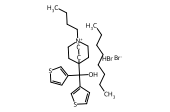 Br.CCCCCCCC.CCCC[N+]12CCC(C(O)(c3ccsc3)c3ccsc3)(CC1)CC2.[Br-]